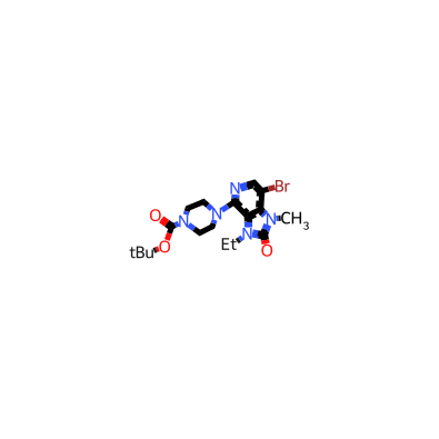 CCn1c(=O)n(C)c2c(Br)cnc(N3CCN(C(=O)OC(C)(C)C)CC3)c21